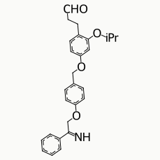 CC(C)Oc1cc(OCc2ccc(OCC(=N)c3ccccc3)cc2)ccc1CCC=O